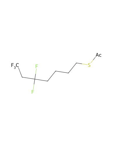 CC(=O)SCCCCC(F)(F)CC(F)(F)F